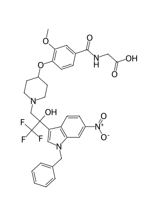 COc1cc(C(=O)NCC(=O)O)ccc1OC1CCN(CC(O)(c2cn(Cc3ccccc3)c3cc([N+](=O)[O-])ccc23)C(F)(F)F)CC1